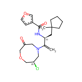 C=C([C@H](CC1(C)CCCC1)NC(=O)c1ccoc1)N1CC(=O)COC[C@H](Cl)C1